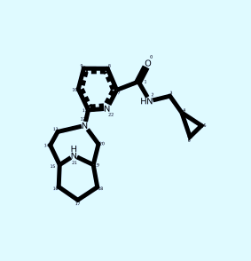 O=C(NCC1CC1)c1cccc(N2CCC3CCCC(C2)N3)n1